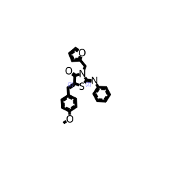 COc1ccc(/C=C2\S/C(=N\c3ccccc3)N(Cc3ccco3)C2=O)cc1